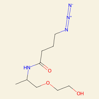 CC(COCCO)NC(=O)CCCN=[N+]=[N-]